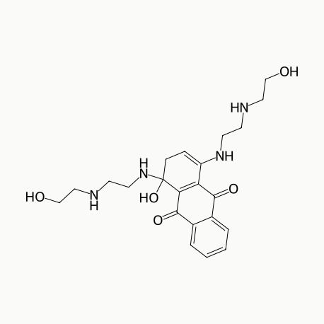 O=C1C2=C(C(=O)c3ccccc31)C(O)(NCCNCCO)CC=C2NCCNCCO